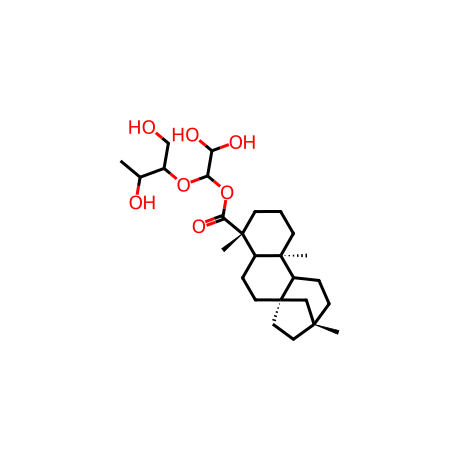 CC(O)C(CO)OC(OC(=O)[C@]1(C)CCC[C@@]2(C)C3CC[C@]4(C)CC[C@@]3(CCC21)C4)C(O)O